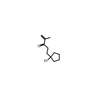 C=C(C)C(=O)CCC1(CC)CCCC1